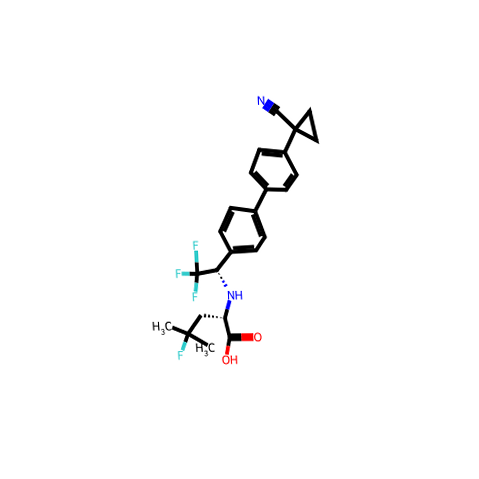 CC(C)(F)C[C@H](N[C@@H](c1ccc(-c2ccc(C3(C#N)CC3)cc2)cc1)C(F)(F)F)C(=O)O